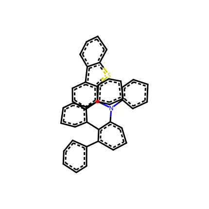 c1ccc(-c2ccccc2-c2c(-c3ccccc3)cccc2N(c2ccccc2)c2cccc3c2sc2ccccc23)cc1